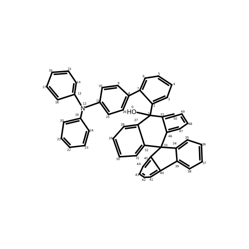 OC1(c2ccccc2-c2ccc(N(c3ccccc3)c3ccccc3)cc2)c2ccccc2C2(c3ccccc3-c3ccccc32)c2ccccc21